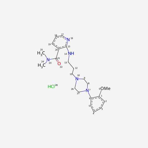 COc1ccccc1N1CCN(CCCNc2ncccc2C(=O)N(C)C)CC1.Cl